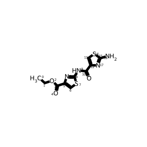 CCOC(=O)c1csc(NC(=O)c2csc(N)n2)n1